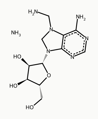 N.NCN1CN([C@@H]2O[C@H](CO)[C@@H](O)[C@H]2O)c2ncnc(N)c21